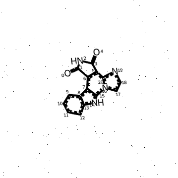 O=C1NC(=O)c2c1c1c3ccccc3[nH]c1n1ccnc21